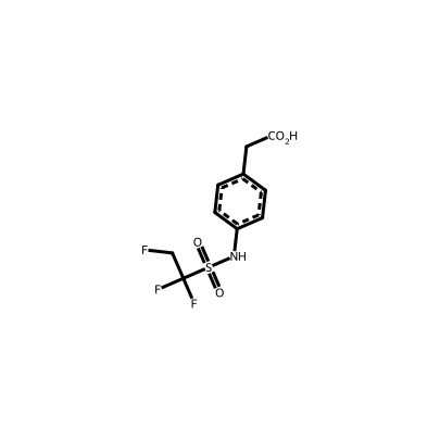 O=C(O)Cc1ccc(NS(=O)(=O)C(F)(F)CF)cc1